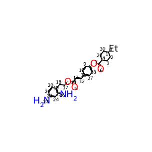 CCC1CCC(C(=O)Oc2ccc(/C=C/C(=O)OCCc3ccc(N)cc3N)cc2)CC1